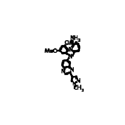 COc1cc(OC)cc(N(Cc2cccc(CN)n2)c2ccc3ncc(C4C=NN(C)C4)nc3c2)c1